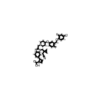 N#CCC1(Cn2c(CN3CCC(Oc4ccc(F)c(COc5ccc(Cl)cc5F)c4)CC3)nc3ccc(C4C#CC4C(=O)O)cc32)CC1